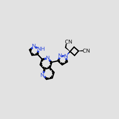 N#CC[C@]1(n2ccc(-c3nc(-c4ccn[nH]4)cc4ncccc34)n2)C[C@H](C#N)C1